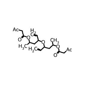 C=CC(CC(C)OC(=O)CC(C)=O)OC(C=C)CC(C)OC(=O)CC(C)=O